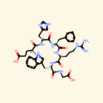 N=C(N)NCCC[C@H](NC(=O)[C@H](Cc1ccccc1)NC(=O)[C@H](Cc1c[nH]cn1)NC(=O)[C@@H](N)CCC(=O)O)C(=O)N[C@@H](Cc1c[nH]c2ccccc12)C(=O)NCC(=O)O